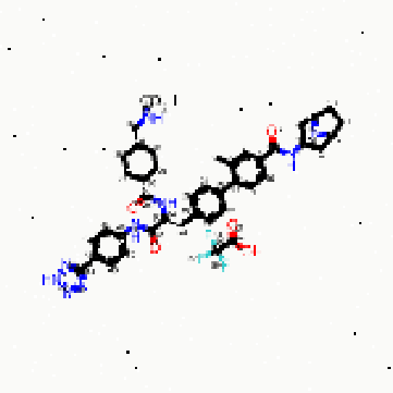 Cc1cc(C(=O)NC2CC3CCC(C2)N3C)ccc1-c1ccc(C[C@H](NC(=O)[C@H]2CC[C@H](CNC(=O)O)CC2)C(=O)Nc2ccc(-c3nn[nH]n3)cc2)cc1.O=C(O)C(F)(F)F